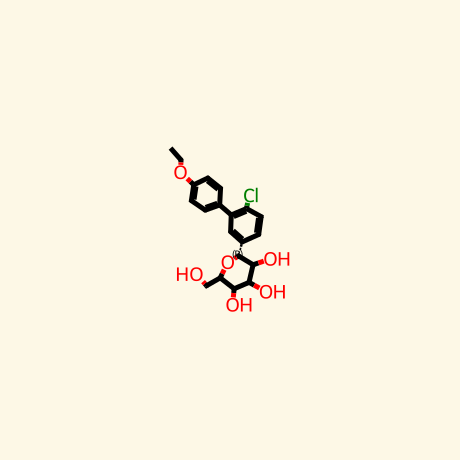 CCOc1ccc(-c2cc([C@H]3OC(CO)C(O)C(O)C3O)ccc2Cl)cc1